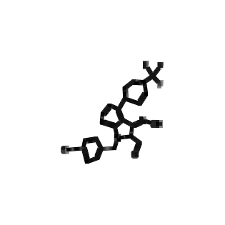 O=CC1C(=NO)c2c(-c3ccc(C(F)(F)F)cc3)cccc2N1Cc1ccc(Cl)cc1